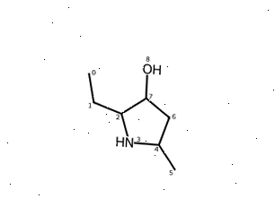 CCC1NC(C)CC1O